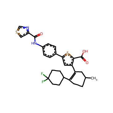 CC1CCC(C2CCC(F)(F)CC2)=C(c2cc(-c3ccc(NC(=O)c4cscn4)cc3)sc2C(=O)O)C1